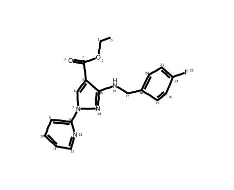 CCOC(=O)c1cn(-c2ccccn2)nc1NCc1ccc(F)cc1